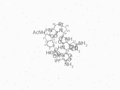 CC(=O)N[C@@H](Cc1ccc(OP(=O)(O)O)cc1)C(=O)N[C@@H](CC(C)C)C(=O)N1CCC[C@H]1C(=O)N[C@@H](CCC(N)=O)C(=O)N[C@H](C(=O)N[C@H](C(N)=O)C(C)C)C(C)O